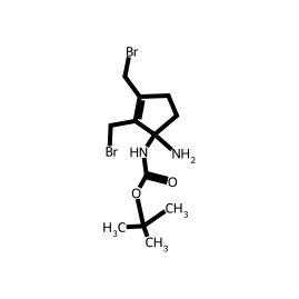 CC(C)(C)OC(=O)NC1(N)CCC(CBr)=C1CBr